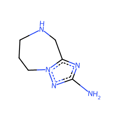 Nc1nc2n(n1)CCCNC2